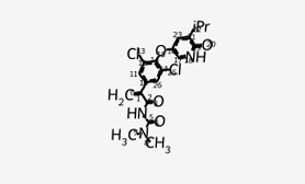 C=C(C(=O)NC(=O)N(C)C)c1cc(Cl)c(Oc2c[nH]c(=O)c(C(C)C)c2)c(Cl)c1